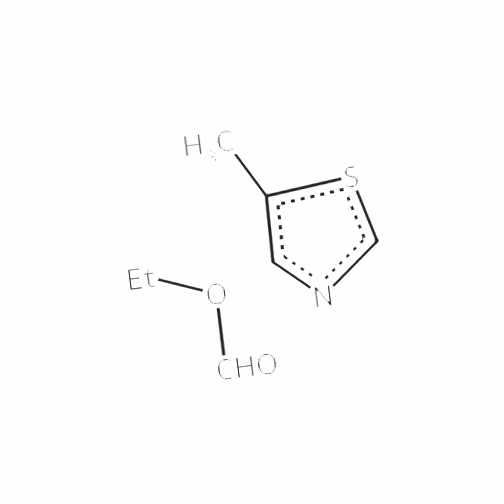 CCOC=O.Cc1cncs1